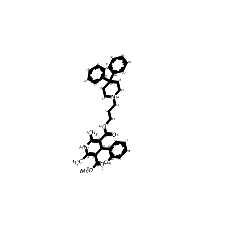 COC(=O)C1=C(C)NC(C)=C(C(=O)OCCCN2CCC(c3ccccc3)(c3ccccc3)CC2)C1c1ccccc1Cl